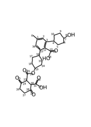 Cc1cc(C2CCC(O)CC2)c(C(=O)O)c(C2CCC(OC(=O)C3C(=O)CCC(=O)C3C(=O)O)CC2)c1